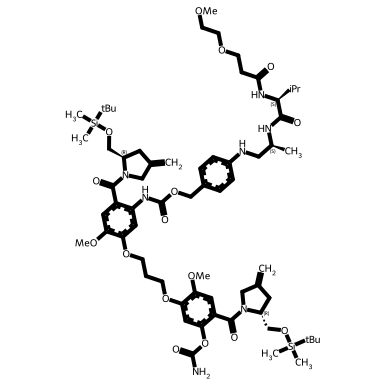 C=C1C[C@H](CO[Si](C)(C)C(C)(C)C)N(C(=O)c2cc(OC)c(OCCCOc3cc(OC(N)=O)c(C(=O)N4CC(=C)C[C@@H]4CO[Si](C)(C)C(C)(C)C)cc3OC)cc2NC(=O)OCc2ccc(NC[C@H](C)NC(=O)[C@@H](NC(=O)CCOCCOC)C(C)C)cc2)C1